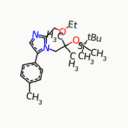 CCOCc1ncc(-c2ccc(C)cc2)n1CC(C)(C)O[Si](C)(C)C(C)(C)C